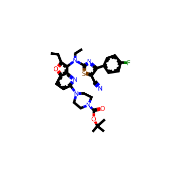 CCc1oc2ccc(N3CCN(C(=O)OC(C)(C)C)CC3)nc2c1N(CC)c1nc(-c2ccc(F)cc2)c(C#N)s1